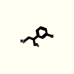 CCC(N)c1cccc(Cl)c1